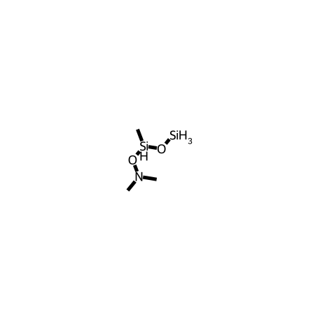 CN(C)O[SiH](C)O[SiH3]